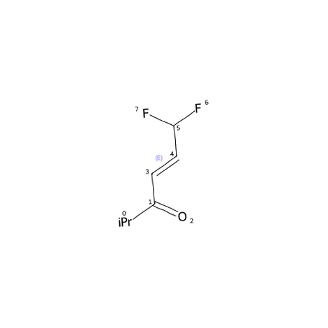 CC(C)C(=O)/C=C/C(F)F